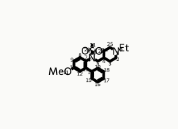 CCN1CCC(CN(c2ccc(OC)cc2-c2ccccc2)S(C)(=O)=O)CC1